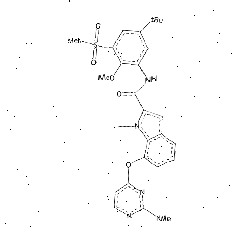 CNc1nccc(Oc2cccc3cc(C(=O)Nc4cc(C(C)(C)C)cc(S(=O)(=O)NC)c4OC)n(C)c23)n1